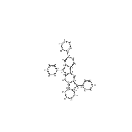 c1ccc(-c2ccc3c4cc5c(cc4n(-c4ccccc4)c3c2)c2ccccc2n5-c2ccccc2)cc1